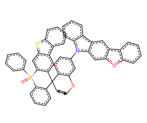 O=P1(c2ccccc2)c2ccccc2C2(c3ccccc3Oc3cc(-n4c5ccccc5c5cc6c(cc54)oc4ccccc46)ccc32)c2cc3c(cc21)sc1ccccc13